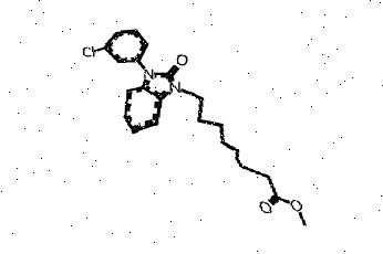 COC(=O)CCCCCCCn1c(=O)n(-c2cccc(Cl)c2)c2ccccc21